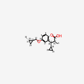 C[C@H](C(=O)O)[C@H](c1cccc(OCC2C[C@@H]2C)c1)C1CC1